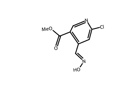 COC(=O)c1cnc(Cl)cc1C=NO